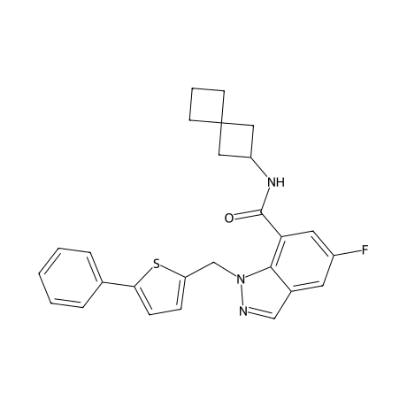 O=C(NC1CC2(CCC2)C1)c1cc(F)cc2cnn(Cc3ccc(-c4ccccc4)s3)c12